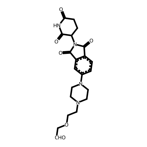 O=CCOCCN1CCN(c2ccc3c(c2)C(=O)N(C2CCC(=O)NC2=O)C3=O)CC1